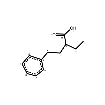 CCC(CCc1ccccc1)C(=O)O